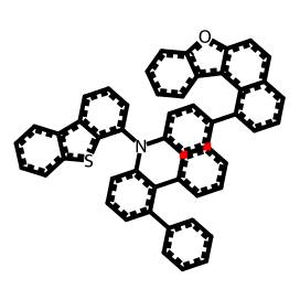 c1ccc(-c2cccc(N(c3ccc(-c4cccc5ccc6oc7ccccc7c6c45)cc3)c3cccc4c3sc3ccccc34)c2-c2ccccc2)cc1